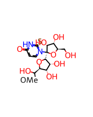 COC(O)[C@H]1OC([C@@]2(n3ccc(=O)[nH]c3=S)O[C@H](CO)[C@@H](O)[C@H]2O)[C@H](O)[C@@H]1O